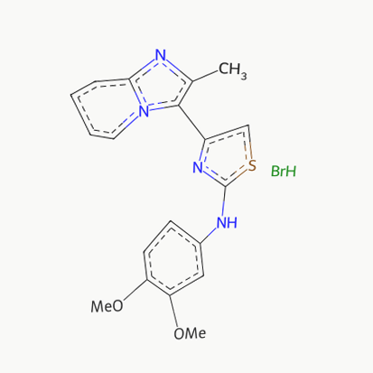 Br.COc1ccc(Nc2nc(-c3c(C)nc4ccccn34)cs2)cc1OC